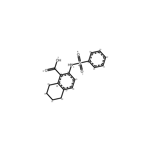 O=C(O)c1c(NS(=O)(=O)c2ccccc2)ccc2c1CCCC2